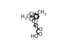 Cc1ccc(OC2CN(C(=O)CC(=O)O)C2)c(C(C)(C)C)c1